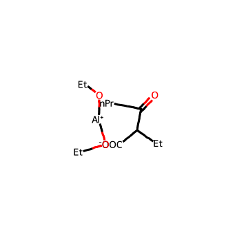 CCCC(=O)C(CC)C(=O)[O-].CC[O][Al+][O]CC